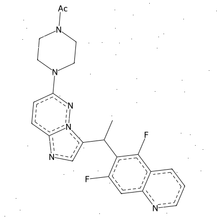 CC(=O)N1CCN(c2ccc3ncc(C(C)c4c(F)cc5ncccc5c4F)n3n2)CC1